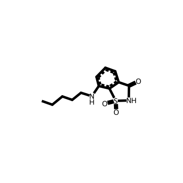 CCCCCNc1cccc2c1S(=O)(=O)NC2=O